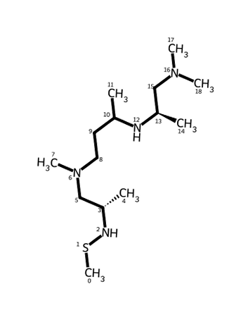 CSN[C@@H](C)CN(C)CCC(C)N[C@H](C)CN(C)C